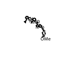 COCCN1CCN(CCOc2ccn3c(C(=O)Nc4cccc5c4c(C)nn5Cc4cccc(C5CC5)n4)cnc3c2)CC1